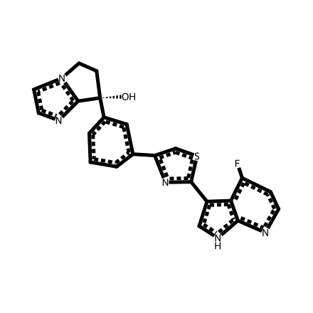 O[C@@]1(c2cccc(-c3csc(-c4c[nH]c5nccc(F)c45)n3)c2)CCn2ccnc21